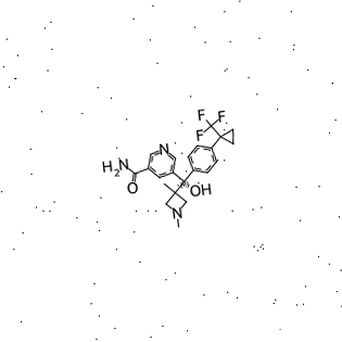 CN1CC(C)([C@](O)(c2ccc(C3(C(F)(F)F)CC3)cc2)c2cncc(C(N)=O)c2)C1